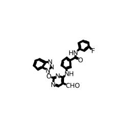 O=Cc1cnc(On2nnc3ccccc32)nc1Nc1cccc(C(=O)Nc2cccc(F)c2)c1